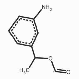 CC(O[C]=O)c1cccc(N)c1